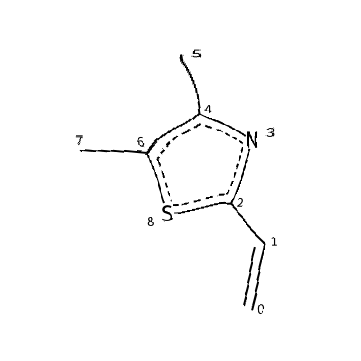 C=Cc1nc(C)c(C)s1